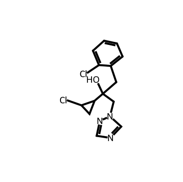 OC(Cc1ccccc1Cl)(Cn1cncn1)C1CC1Cl